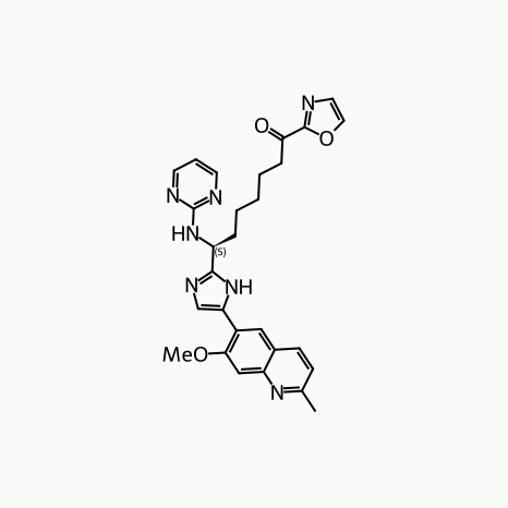 COc1cc2nc(C)ccc2cc1-c1cnc([C@H](CCCCCC(=O)c2ncco2)Nc2ncccn2)[nH]1